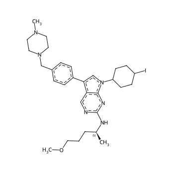 COCCC[C@H](C)Nc1ncc2c(-c3ccc(CN4CCN(C)CC4)cc3)cn(C3CCC(I)CC3)c2n1